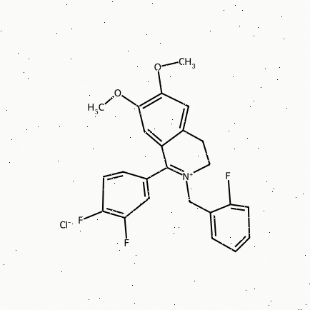 COc1cc2c(cc1OC)C(c1ccc(F)c(F)c1)=[N+](Cc1ccccc1F)CC2.[Cl-]